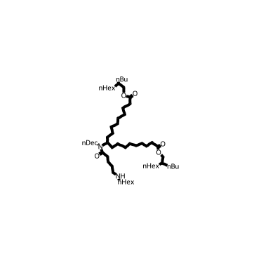 CCCCCCCCCCN(C(=O)CCCCNCCCCCC)C(CCCCCCCCC(=O)OCC(CCCC)CCCCCC)CCCCCCCCC(=O)OCC(CCCC)CCCCCC